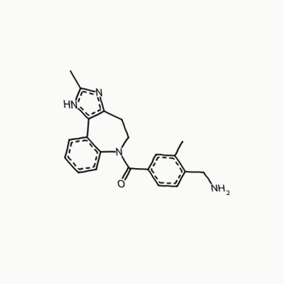 Cc1nc2c([nH]1)-c1ccccc1N(C(=O)c1ccc(CN)c(C)c1)CC2